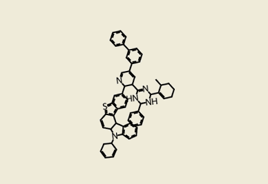 CC1CCCC=C1C1N=C(C2C=C(c3cccc(-c4ccccc4)c3)C=NC2c2ccc3c4c(sc3c2)C=CC2C4c3ccccc3N2C2C=CC=CC2)NC(c2ccccc2)N1